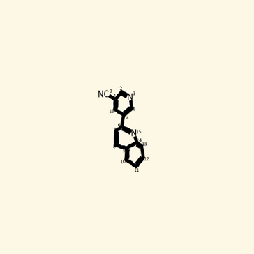 N#Cc1cncc(-c2ccc3c[c]ccc3n2)c1